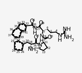 N=C(N)NCCC[C@H](NC(=O)[C@@H]1CCCN1C(=O)[C@H](N)Cc1ccccc1)C(=O)NC(=O)c1ccc2ccccc2c1